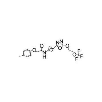 Cc1ccc(OCC(=O)NC23CC(c4nnc(OCCOC(F)(F)F)o4)(C2)C3)cc1